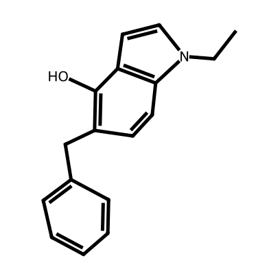 CCn1ccc2c(O)c(Cc3ccccc3)ccc21